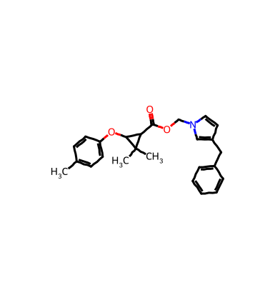 Cc1ccc(OC2C(C(=O)OCn3ccc(Cc4ccccc4)c3)C2(C)C)cc1